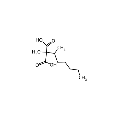 CCCCCC(C)C(C)(C(=O)O)C(=O)O